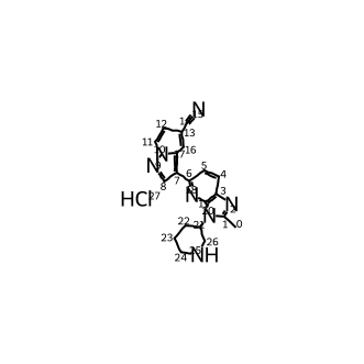 Cc1nc2ccc(-c3cnn4ccc(C#N)cc34)nc2n1C1CCCNC1.Cl